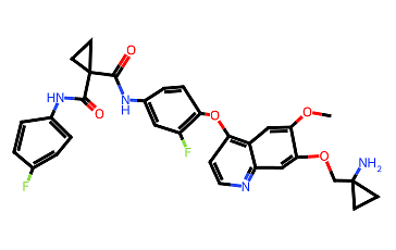 COc1cc2c(Oc3ccc(NC(=O)C4(C(=O)Nc5ccc(F)cc5)CC4)cc3F)ccnc2cc1OCC1(N)CC1